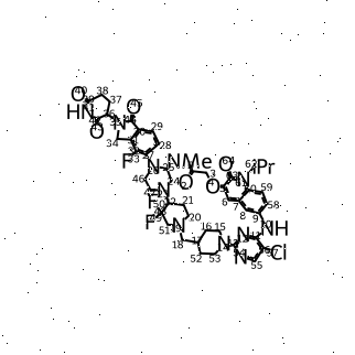 CNC(=O)COc1cc2cc(Nc3nc(N4CCC(CN5CCC(N6CCN(c7ccc8c(c7F)CN(C7CCC(=O)NC7=O)C8=O)CC6)C(F)(F)C5)CC4)ncc3Cl)ccc2n(C(C)C)c1=O